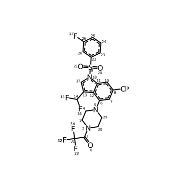 O=C(N1CCN(c2cc(Cl)cc3c2c(C(F)F)cn3S(=O)(=O)c2cccc(F)c2)CC1)C(F)(F)F